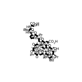 CC[C@H](C)[C@H](NC(=O)[C@H](CO)NC(=O)CNC(=O)[C@@H](NC(=O)[C@H](C)NC(=O)[C@H](C)N)C(C)C)C(=O)N[C@@H](CC(C)C)C(=O)N[C@@H](CO)C(=O)N[C@@H](CCC(=O)O)C(=O)N[C@@H](CCC(=O)O)C(=O)NCC(=O)N[C@H](C(=O)N1CCC[C@H]1C(=O)N[C@H](C(=O)N[C@@H](CO)C(=O)O)[C@@H](C)CC)C(C)C